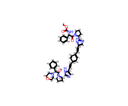 COC(=O)N[C@@H](C(=O)N1CCC[C@H]1c1ncc(C#Cc2ccc(C#Cc3cnc([C@@H]4CCCN4C(=O)[C@@H](c4ccccc4)N4CCOCC4)[nH]3)cc2)[nH]1)c1ccccc1